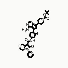 CC(C)(C)OC(=O)N1CCC(c2cc(-c3ccc(NC(=O)c4c5n(n(-c6ccccn6)c4=O)CCOC5)cc3F)c3c(N)ncnn23)CC1